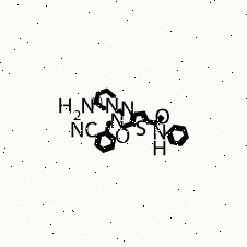 N#Cc1ccccc1Cn1c(N2CCC[C@@H](N)C2)nc2cc(C(=O)Nc3ccccc3)sc2c1=O